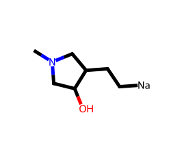 CN1CC(O)C(C[CH2][Na])C1